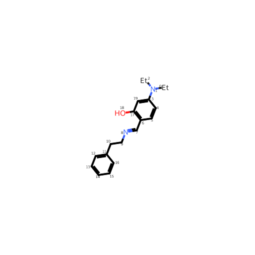 CCN(CC)c1ccc(C=NCCc2ccccc2)c(O)c1